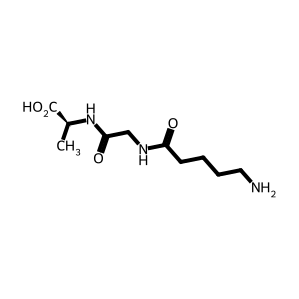 C[C@H](NC(=O)CNC(=O)CCCCN)C(=O)O